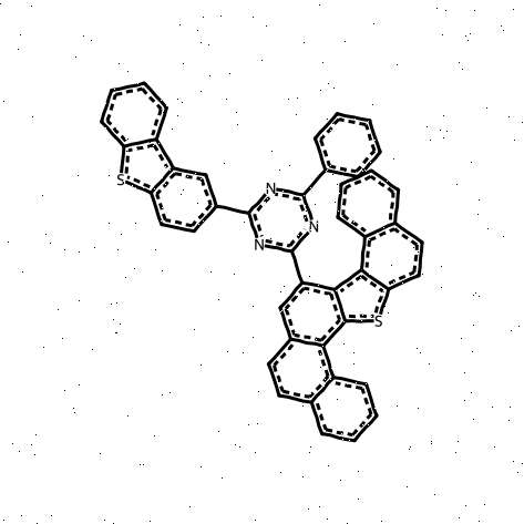 c1ccc(-c2nc(-c3ccc4sc5ccccc5c4c3)nc(-c3cc4ccc5ccccc5c4c4sc5ccc6ccccc6c5c34)n2)cc1